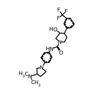 CN(C)C1CCN(c2ccc(NC(=O)N3CCC(c4cccc(C(F)(F)F)c4)C(O)C3)cc2)C1